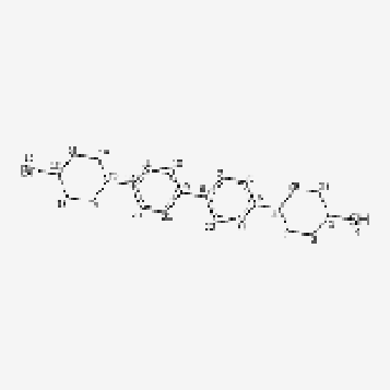 SC1CCC(c2ccc(-c3ccc(C4CCC(Br)CC4)cc3)cc2)CC1